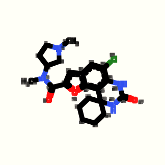 CN1CCC(N(C)C(=O)c2cc3cc(Cl)c4c(c3o2)C2(CCCCC2)NC(=O)N4)C1